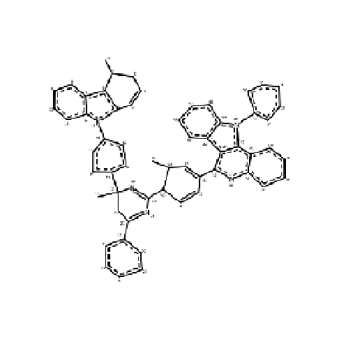 CC1CC=Cc2c1c1ccccc1n2-c1ccc(C2(C)CC(c3ccccc3)=NC(C3C=CC(c4nc5ccccc5c5c4c4ccccc4n5-c4ccccc4)=CC3C)=N2)cc1